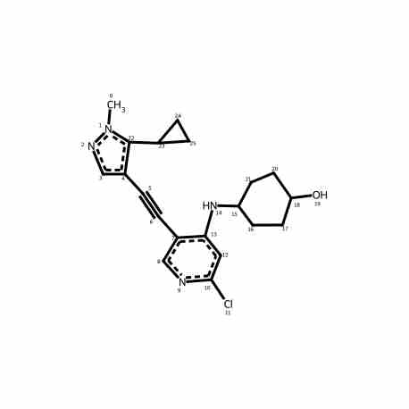 Cn1ncc(C#Cc2cnc(Cl)cc2NC2CCC(O)CC2)c1C1CC1